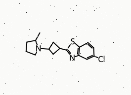 CC1CCCN1C1CC(c2nc3cc(Cl)ccc3s2)C1